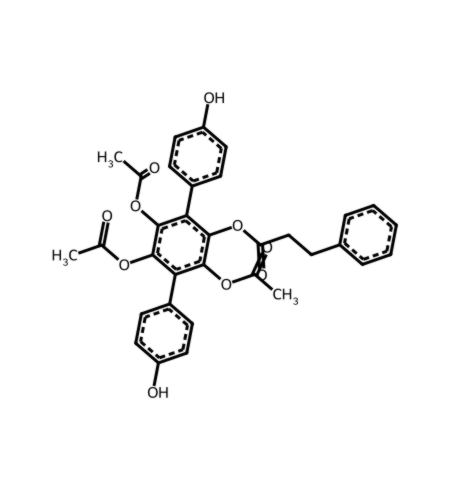 CC(=O)Oc1c(OC(C)=O)c(-c2ccc(O)cc2)c(OC(=O)CCc2ccccc2)c(OC(C)=O)c1-c1ccc(O)cc1